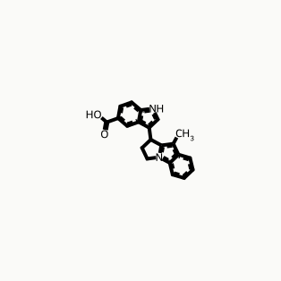 Cc1c2n(c3ccccc13)CCC2c1c[nH]c2ccc(C(=O)O)cc12